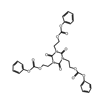 O=C(OCCn1c(=O)n(CCOC(=O)Oc2ccccc2)c(=O)n(CCOC(=O)Oc2ccccc2)c1=O)Oc1ccccc1